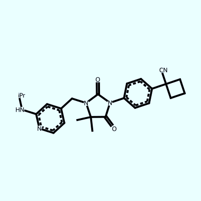 CC(C)Nc1cc(CN2C(=O)N(c3ccc(C4(C#N)CCC4)cc3)C(=O)C2(C)C)ccn1